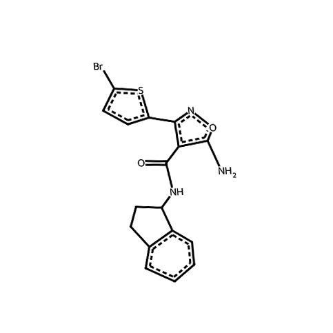 Nc1onc(-c2ccc(Br)s2)c1C(=O)NC1CCc2ccccc21